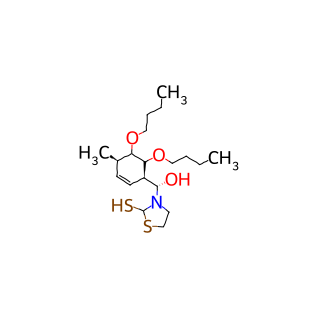 CCCCOC1C(OCCCC)[C@@H]([C@H](O)N2CCSC2S)C=C[C@H]1C